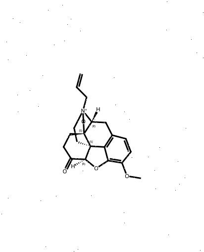 C=CC[N+]12CC[C@]34c5c6ccc(OC)c5O[C@H]3C(=O)CC[C@@]4(OC1)[C@H]2C6